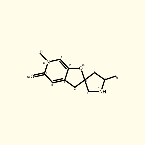 CC1CC2(CN1)Cc1cc(=O)n(C)cc1O2